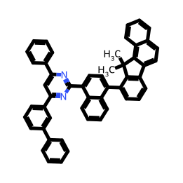 CC1(C)c2c(cccc2-c2ccc(-c3nc(-c4ccccc4)cc(-c4cccc(-c5ccccc5)c4)n3)c3ccccc23)-c2ccc3ccccc3c21